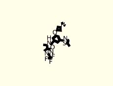 Cc1cnc(-c2cc(O[C@H]3C[C@H](N(C)C)C3)cc(C(=O)NC(C)c3cnc(C(F)(F)F)nc3)c2)s1